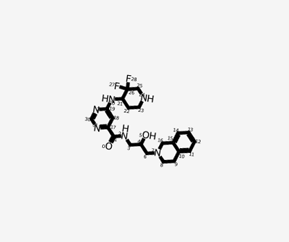 O=C(NCC(O)CN1CCc2ccccc2C1)c1cc(NC2CCNCC2(F)F)ncn1